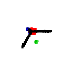 CCCCCCCCCCCCCCCC(=O)C(O)C(O)(C(=O)CCCCCCCCCCCCCCC)C(=O)NC[N+](C)(C)C.[Cl-]